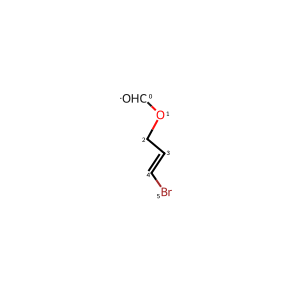 O=[C]OCC=CBr